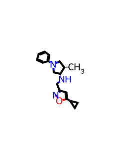 C[C@H]1CN(c2ccccc2)C[C@H]1NCc1cc(C2CC2)on1